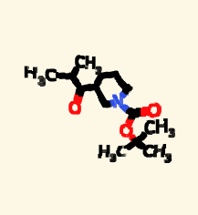 CC(C)C(=O)C1CCCN(C(=O)OC(C)(C)C)C1